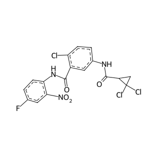 O=C(Nc1ccc(F)cc1[N+](=O)[O-])c1cc(NC(=O)C2CC2(Cl)Cl)ccc1Cl